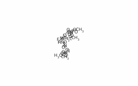 CC(=O)O[C@@H]1C[C@@H](C(=O)NCc2ccc(-n3cc(NC(=O)c4coc(-c5ccnc(N(CC6CC6)C(=O)OC(C)(C)C)c5)n4)c(C(F)F)n3)cc2)N(C(=O)OC(C)(C)C)C1